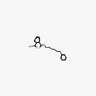 O=C(O)c1ccccc1C(=O)OCCCCCCc1ccccc1